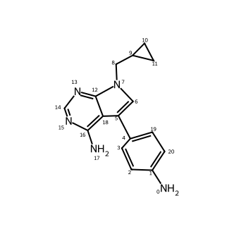 Nc1ccc(-c2cn(CC3CC3)c3ncnc(N)c23)cc1